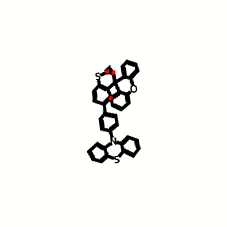 c1ccc2c(c1)Oc1ccccc1C21c2ccccc2Sc2ccc(-c3ccc(N4c5ccccc5Sc5ccccc54)cc3)cc21